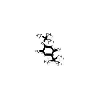 CC(C)(C)SC1=CC(=O)C(C(C)(C)C)=CC1=O